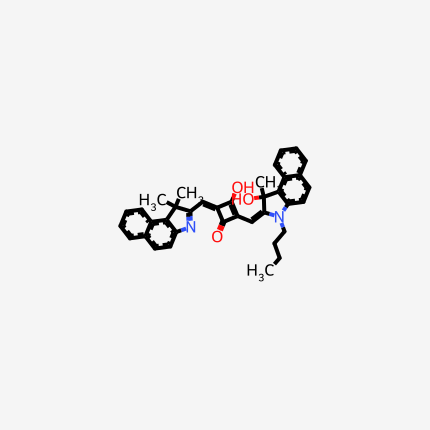 CCCCN1/C(=C/C2=C(O)C(=C/C3=Nc4ccc5ccccc5c4C3(C)C)/C2=O)C(C)(O)c2c1ccc1ccccc21